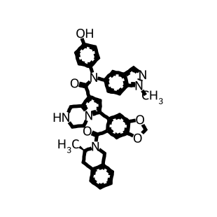 C[C@@H]1Cc2ccccc2CN1C(=O)c1cc2c(cc1-c1cc(C(=O)N(c3ccc(O)cc3)c3ccc4c(cnn4C)c3)c3n1CCNC3)OCO2